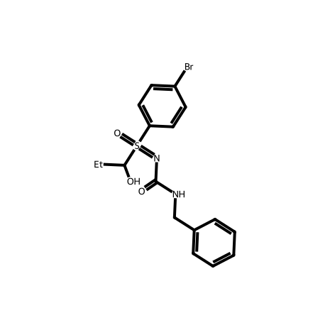 CCC(O)S(=O)(=NC(=O)NCc1ccccc1)c1ccc(Br)cc1